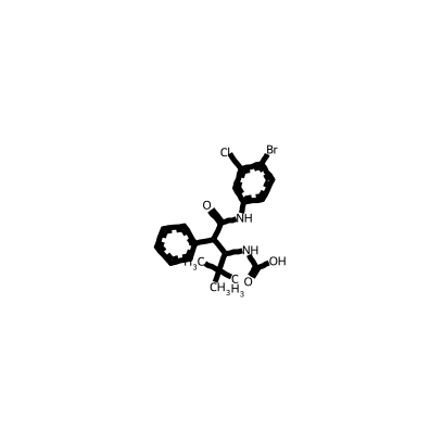 CC(C)(C)C(NC(=O)O)C(C(=O)Nc1ccc(Br)c(Cl)c1)c1ccccc1